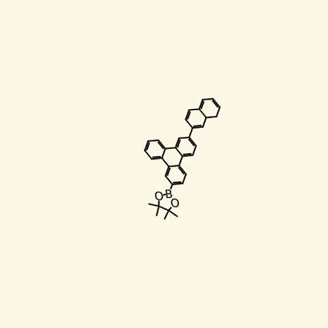 CC1(C)OB(c2ccc3c4ccc(C5=CC6CC=CC=C6C=C5)cc4c4ccccc4c3c2)OC1(C)C